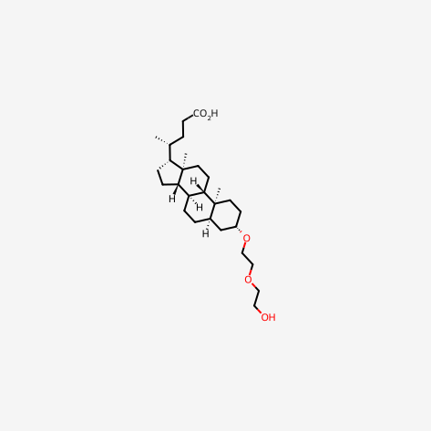 C[C@H](CCC(=O)O)[C@H]1CC[C@H]2[C@@H]3CC[C@@H]4C[C@@H](OCCOCCO)CC[C@]4(C)[C@H]3CC[C@]12C